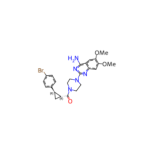 COc1cc2nc(N3CCN(C(=O)[C@@H]4C[C@H]4c4ccc(Br)cc4)CC3)nc(N)c2cc1OC